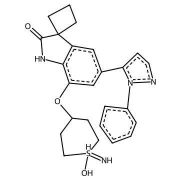 N=[SH]1(O)CCC(Oc2cc(-c3ccnn3-c3ccccc3)cc3c2NC(=O)C32CCC2)CC1